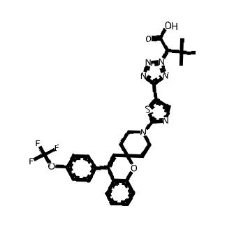 CC(C)(C)C(C(=O)O)n1nnc(-c2cnc(N3CCC4(C=C(c5ccc(OC(F)(F)F)cc5)c5ccccc5O4)CC3)s2)n1